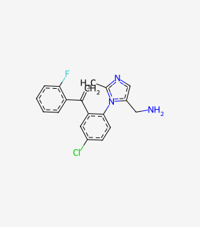 C=C(c1ccccc1F)c1cc(Cl)ccc1-n1c(CN)cnc1C